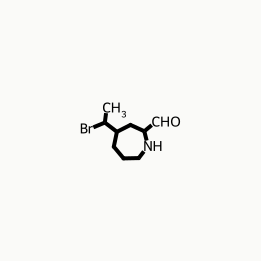 CC(Br)C1CCCNC(C=O)C1